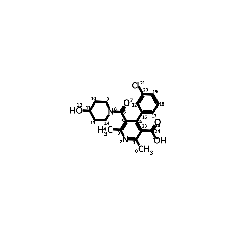 Cc1nc(C)c(C(=O)N2CCC(O)CC2)c(-c2cccc(Cl)c2)c1C(=O)O